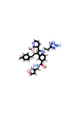 COc1ncccc1-c1c(CCc2ccc(C)cc2)c2cc(C(=O)NCc3ccon3)ccc2n1CCc1nn[nH]n1